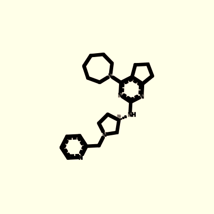 c1ccc(CN2CC[C@H](Nc3nc4c(c(N5CCCCCC5)n3)CCC4)C2)nc1